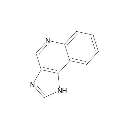 c1ccc2c(c1)ncc1nc[nH]c12